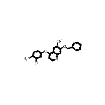 N#Cc1cc2c(Oc3ccc(N)c(Cl)c3)ccnc2cc1OCc1ccccc1